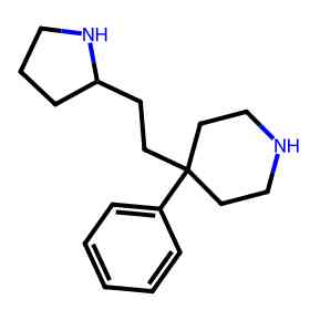 c1ccc(C2(CCC3CCCN3)CCNCC2)cc1